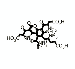 CC(C)C(N)C(=O)c1c(C(=O)C(N)CCC(=O)O)c(N)c(C(=O)C(N)CC(=O)O)c2oc(=O)c(C(=O)C(N)CC(=O)O)c(C(F)(F)F)c12